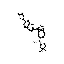 CN1CC(c2ccc3ccc(-c4nnc5ccc([C@H](N6CCC(C)(O)C6)C(F)(F)F)cn45)nc3c2)C=N1